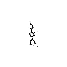 CNc1ccc(-c2ccc(-c3cc(F)nc(OC)c3)cc2O)nn1